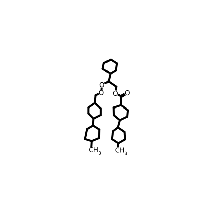 CC1CCC(C2CCC(COOC(COC(=O)C3CCC(C4CCC(C)CC4)CC3)C3CCCCC3)CC2)CC1